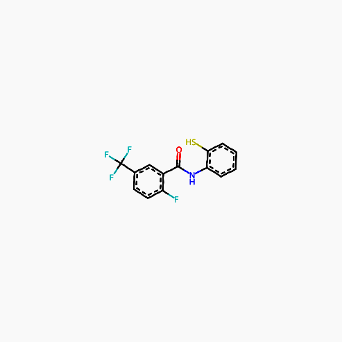 O=C(Nc1ccccc1S)c1cc(C(F)(F)F)ccc1F